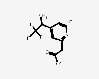 CC(c1ccnc(CC(=O)[O-])c1)C(F)(F)F.[Li+]